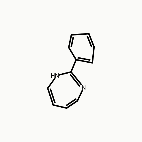 C1=CN=C(c2ccccc2)NC=C1